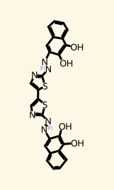 Oc1c(/N=N/c2ncc(-c3cnc(/N=N/c4cc5ccccc5c(O)c4O)s3)s2)cc2ccccc2c1O